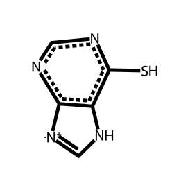 Sc1ncnc2c1NC=[N+]2